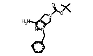 CC(C)(C)OC(=O)N1Cc2c(N)nn(Cc3ccccc3)c2C1